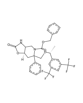 C[C@@H](OCC1(c2ccccc2)C[C@H]2OC(=O)NC2CN1C(=O)OCc1ccccc1)c1cc(C(F)(F)F)cc(C(F)(F)F)c1